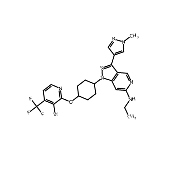 CCNc1cc2c(cn1)c(-c1cnn(C)c1)nn2C1CCC(Oc2nccc(C(F)(F)F)c2Br)CC1